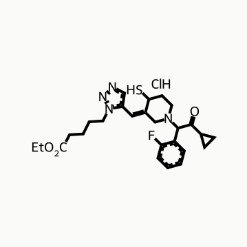 CCOC(=O)CCCCn1nncc1/C=C1/CN(C(C(=O)C2CC2)c2ccccc2F)CCC1S.Cl